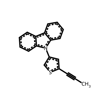 CC#Cc1cc(-n2c3ccccc3c3ccccc32)cs1